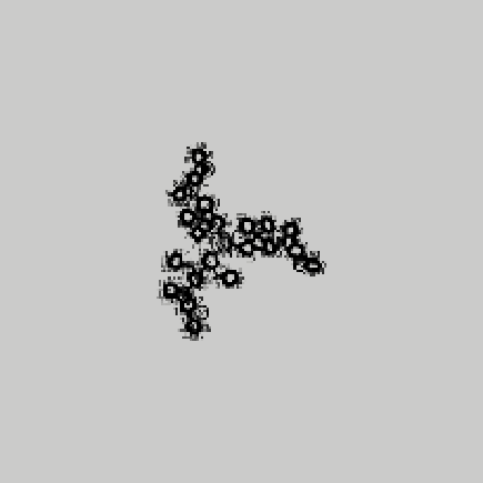 c1ccc(Cc2cc(-c3nc(-c4ccc5c(c4)C(c4ccccc4)(c4ccccc4)c4cc(-n6c7ccccc7c7cc8c(cc76)oc6ccccc68)ccc4-5)nc(-c4ccc5c(c4)C(c4ccccc4)(c4ccccc4)c4cc(-n6c7ccccc7c7cc8c(cc76)oc6ccccc68)ccc4-5)n3)ccc2-c2ccc(-n3c4ccccc4c4cc5c(cc43)oc3ccccc35)cc2Cc2ccccc2)cc1